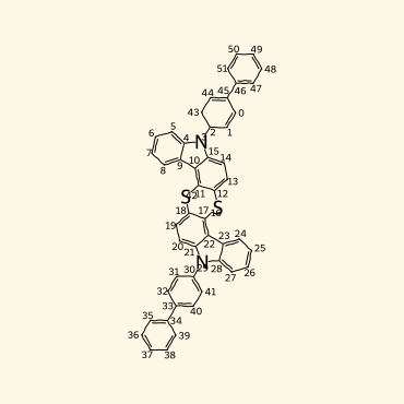 C1=CC(n2c3ccccc3c3c4c(ccc32)Sc2c(ccc3c2c2ccccc2n3-c2ccc(-c3ccccc3)cc2)S4)CC=C1c1ccccc1